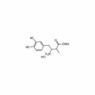 COC(=O)C(C)C(N)Cc1ccc(C#N)c(C#N)c1.Cl